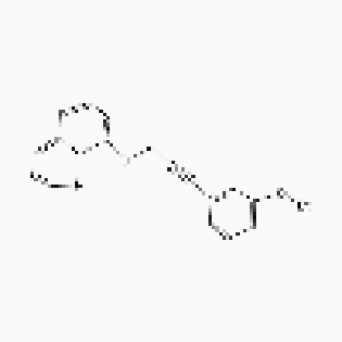 CCOc1cccc(C#CCOc2cccc3cccnc23)c1